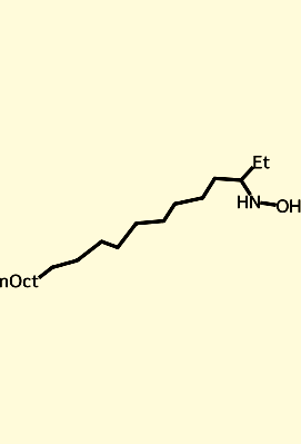 CCCCCCCCCCCCCCCCCC(CC)NO